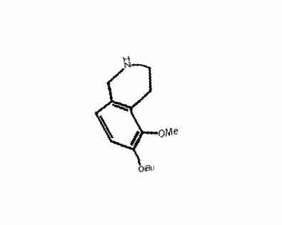 COc1c(OCC(C)C)ccc2c1CCNC2